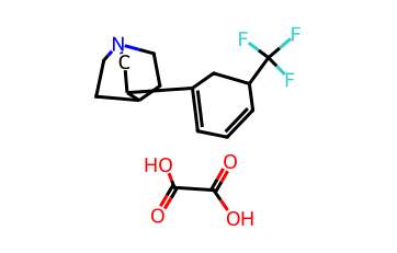 FC(F)(F)C1C=CC=C(C2CN3CCC2CC3)C1.O=C(O)C(=O)O